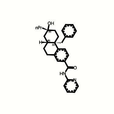 CCC[C@@]1(O)CC[C@@]2(Cc3ccccc3)c3ccc(C(=O)Nc4ccccn4)cc3CC[C@@H]2C1